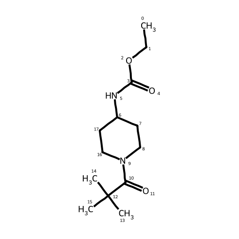 CCOC(=O)NC1CCN(C(=O)C(C)(C)C)CC1